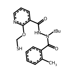 Cc1ccccc1C(=O)N(NC(=O)c1cccnc1OCS)C(C)(C)C